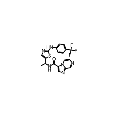 CC(NC(=O)c1cnc2cnccn12)c1cnc(Nc2ccc(C(F)(F)F)cc2)s1